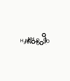 C[C@@H](C(=O)OCc1ccccc1)c1ccc(OC(=O)c2ccc(NC(=N)N)cc2)cc1